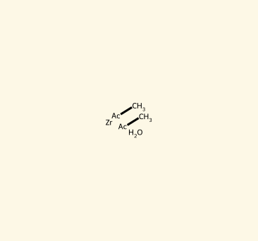 CC(C)=O.CC(C)=O.O.[Zr]